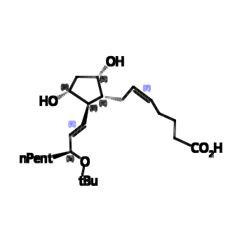 CCCCC[C@@H](/C=C/[C@@H]1[C@@H](C/C=C\CCCC(=O)O)[C@@H](O)C[C@H]1O)OC(C)(C)C